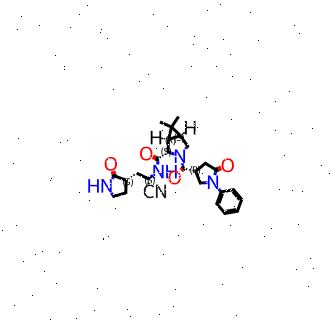 CC1(C)[C@@H]2[C@@H](C(=O)N[C@H](C#N)C[C@@H]3CCNC3=O)N(C(=O)[C@@H]3CC(=O)N(c4ccccc4)C3)C[C@@H]21